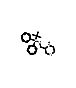 CC(C)(C)[Si](OCC1COCCN1)(c1ccccc1)c1ccccc1